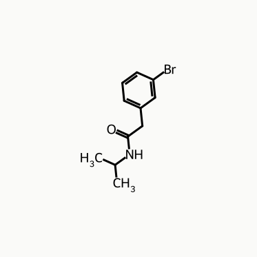 CC(C)NC(=O)Cc1cccc(Br)c1